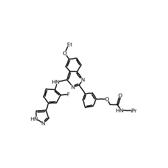 CCOc1ccc2nc(-c3cccc(OCC(=O)NC(C)C)c3)nc(Nc3ccc(-c4cn[nH]c4)cc3F)c2c1